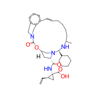 C=C[C@@H]1C[C@]1(NC(=O)[C@@H]1C[C@@H]2CN1[C@H](C1CCCCC1)NC(C)CCCC/C=C/c1cccc3c1CN(C3)C(=O)O2)C(=O)O